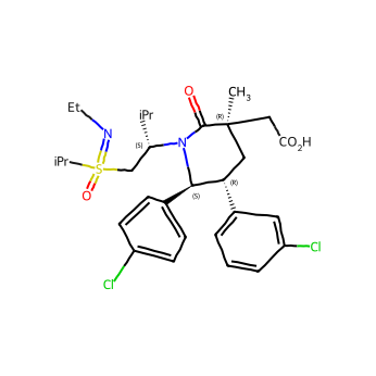 CCN=S(=O)(C[C@H](C(C)C)N1C(=O)[C@@](C)(CC(=O)O)C[C@H](c2cccc(Cl)c2)[C@H]1c1ccc(Cl)cc1)C(C)C